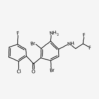 Nc1c(NCC(F)F)cc(Br)c(C(=O)c2cc(F)ccc2Cl)c1Br